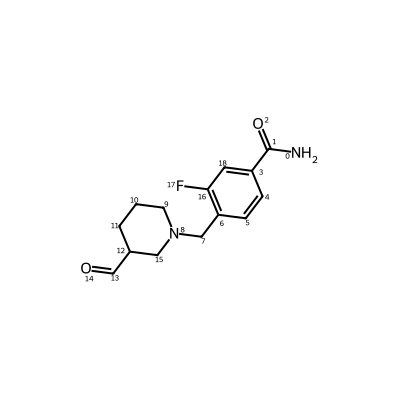 NC(=O)c1ccc(CN2CCCC(C=O)C2)c(F)c1